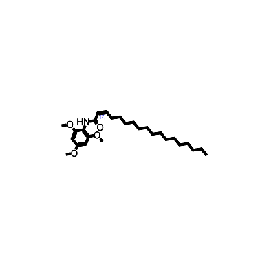 CCCCCCCCCCCCCCC/C=C\C(=O)Nc1c(OC)cc(OC)cc1OC